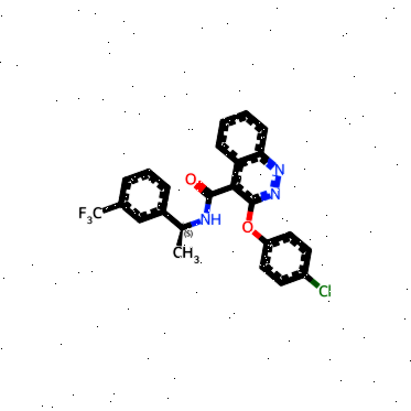 C[C@H](NC(=O)c1c(Oc2ccc(Cl)cc2)nnc2ccccc12)c1cccc(C(F)(F)F)c1